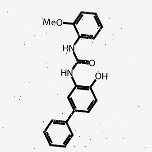 COc1ccccc1NC(=O)Nc1cc(-c2ccccc2)ccc1O